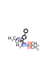 CC(C)Cn1cc(C(C)CNS(=O)(=O)C(C)C)c2ccc(-c3ccccc3)cc21